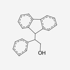 OCC(c1ccccc1)C1c2ccccc2-c2ccccc21